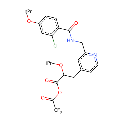 CCCOc1ccc(C(=O)NCc2cc(CC(OC(C)C)C(=O)OC(=O)C(F)(F)F)ccn2)c(Cl)c1